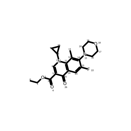 CCOC(=O)c1cn(C2CC2)c2c(C)c(N3CCOCC3)c(F)cc2c1=O